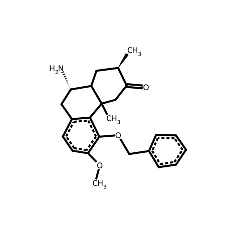 COc1ccc2c(c1OCc1ccccc1)C1(C)CC(=O)[C@H](C)CC1[C@@H](N)C2